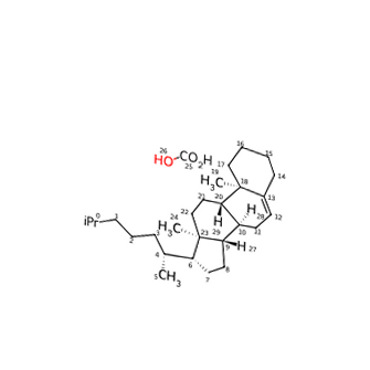 CC(C)CCC[C@@H](C)[C@H]1CC[C@H]2[C@@H]3CC=C4CCCC[C@]4(C)[C@H]3CC[C@]12C.O=C(O)O